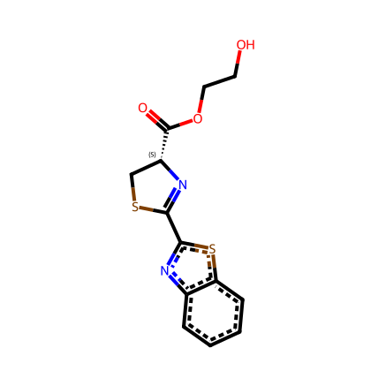 O=C(OCCO)[C@H]1CSC(c2nc3ccccc3s2)=N1